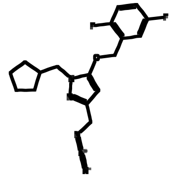 [N-]=[N+]=NCc1cc(OCc2cc(F)ccc2F)n(CC2CCCC2)n1